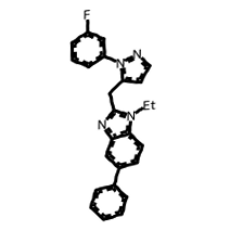 CCn1c(Cc2ccnn2-c2cccc(F)c2)nc2cc(-c3ccccc3)ccc21